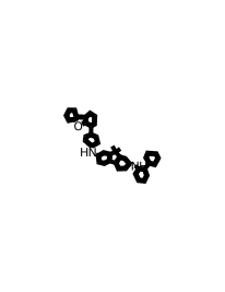 CC1(C)c2cc(Nc3ccc(-c4cccc5c4oc4ccccc45)cc3)ccc2-c2ccc(Nc3ccccc3-c3ccccc3)cc21